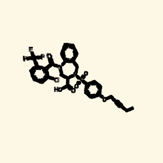 CCC#CCOc1ccc(S(=O)(=O)N2Cc3ccccc3N(C(=O)c3c(Cl)cccc3C(F)(F)F)CC2C(=O)O)cc1